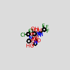 O=C(CO[C@@H]1[C@@H](n2cc(-c3cc(F)c(F)c(F)c3)nn2)[C@@H](O)[C@@H](CO)O[C@H]1C(=O)N(c1cc(Cl)cc(Cl)c1)[C@H]1CCCC[C@@H]1O)N1CCC(O)C1